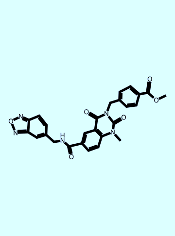 COC(=O)c1ccc(Cn2c(=O)c3cc(C(=O)NCc4ccc5nonc5c4)ccc3n(C)c2=O)cc1